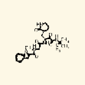 Cn1c(C(=O)NCC(=O)N[C@@H](C[C@@H]2CCCNC2=O)C(=O)C(=O)NC(C)(C)C)cc2ccccc21